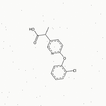 CC(C(=O)O)c1ccc(Oc2ccccc2Cl)nc1